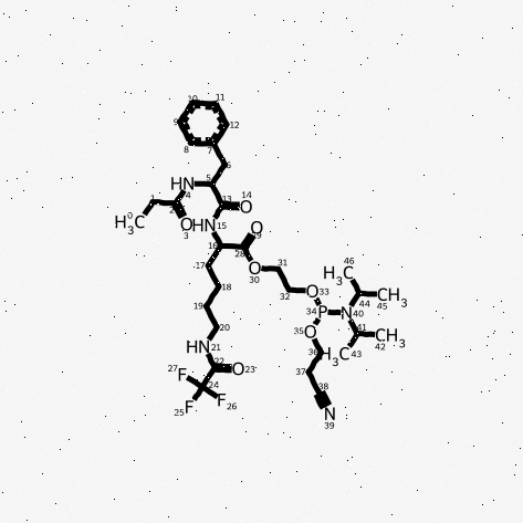 CCC(=O)NC(Cc1ccccc1)C(=O)NC(CCCCNC(=O)C(F)(F)F)C(=O)OCCOP(OCCC#N)N(C(C)C)C(C)C